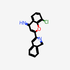 N=c1cc(-c2cc3ccccc3cn2)oc2c(Cl)cccc12